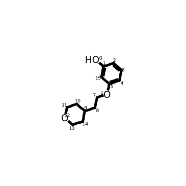 Oc1cccc(OCCC2CCOCC2)c1